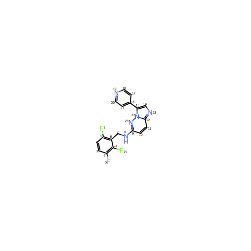 Fc1ccc(F)c(CNc2ccc3ncc(-c4ccncc4)n3n2)c1F